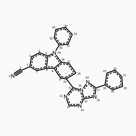 N#Cc1ccc2c(c1)c1cc(-c3ncnc4nc(-c5ccccc5)nn34)ccc1n2-c1ccccc1